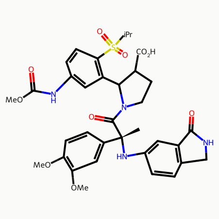 COC(=O)Nc1ccc(S(=O)(=O)C(C)C)c(C2C(C(=O)O)CCN2C(=O)[C@](C)(Nc2ccc3c(c2)C(=O)NC3)c2ccc(OC)c(OC)c2)c1